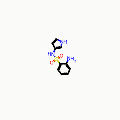 Nc1ccccc1S(=O)(=O)Nc1cc[nH]c1